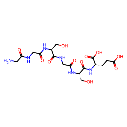 NCC(=O)NCC(=O)N[C@@H](CO)C(=O)NCC(=O)N[C@@H](CO)C(=O)N[C@@H](CCC(=O)O)C(=O)O